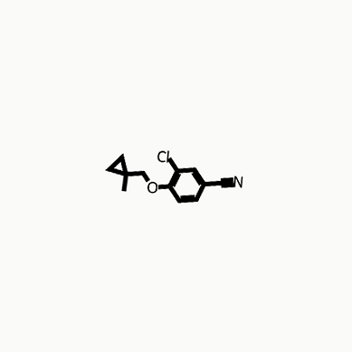 CC1(COc2ccc(C#N)cc2Cl)CC1